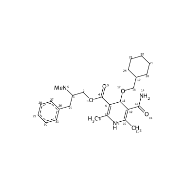 CNC(COC(=O)C1=C(C)NC(C)=C(C(N)=O)C1OCC1CCCCC1)Cc1ccccc1